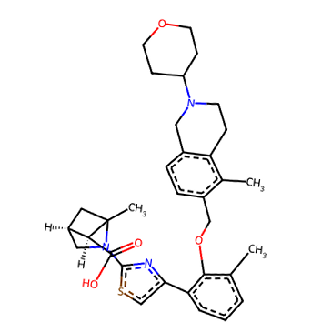 Cc1cccc(-c2csc(N3C[C@H]4CC3(C)[C@H]4C(=O)O)n2)c1OCc1ccc2c(c1C)CCN(C1CCOCC1)C2